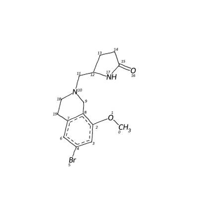 COc1cc(Br)cc2c1CN(CC1CCC(=O)N1)CC2